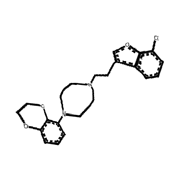 Clc1cccc2c(CCN3CCN(c4cccc5c4OCCO5)CC3)coc12